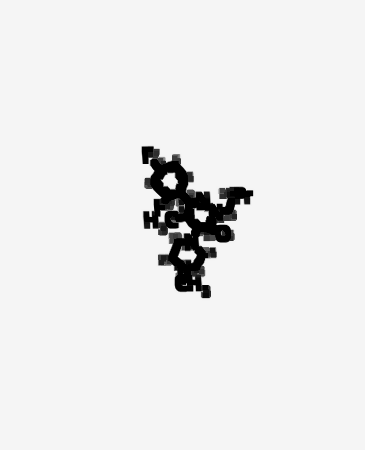 Cc1c(-c2ccc(F)cc2F)nn(CC(C)C)c(=O)c1N1CCN(C)CC1